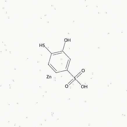 O=S(=O)(O)c1ccc(S)c(O)c1.[Zn]